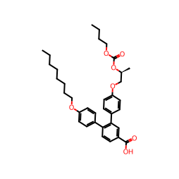 CCCCCCCCOc1ccc(-c2ccc(C(=O)O)cc2-c2ccc(OC[C@H](C)OC(=O)OCCCC)cc2)cc1